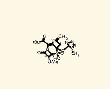 C=CCC1(Sc2nnnn2C)C(C)=C(C(=O)C(C)(C)C)N2C(=O)[C@H](OC)[C@@H]2S1(=O)=O